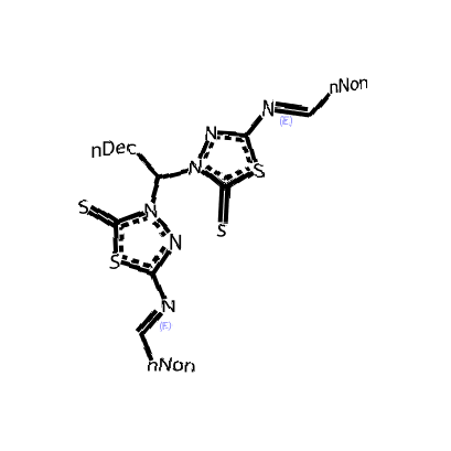 CCCCCCCCC/C=N/c1nn(C(CCCCCCCCCC)n2nc(/N=C/CCCCCCCCC)sc2=S)c(=S)s1